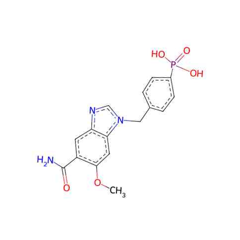 COc1cc2c(cc1C(N)=O)ncn2Cc1ccc(P(=O)(O)O)cc1